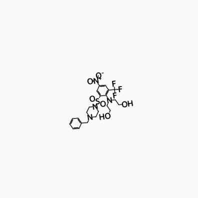 O=[N+]([O-])c1cc(C(F)(F)F)c(N(CCO)CCO)c(S(=O)(=O)N2CCN(Cc3ccccc3)CC2)c1